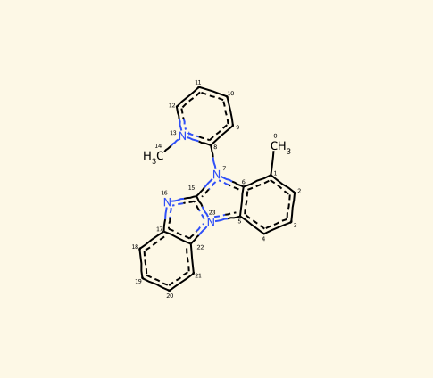 Cc1cccc2c1n(-c1cccc[n+]1C)c1nc3ccccc3n21